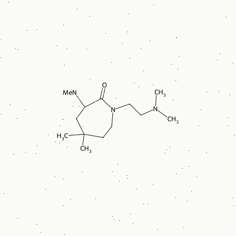 CNC1CC(C)(C)CCN(CCN(C)C)C1=O